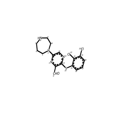 O=Cc1nc(N2CCCNCC2)cnc1Sc1cccc(Cl)c1Cl